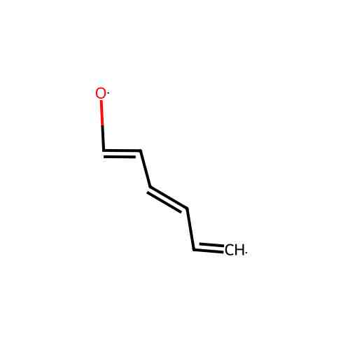 [CH]=CC=CC=C[O]